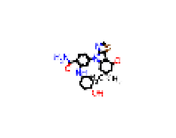 CC1(C)CC(=O)c2c(n(-c3ccc(C(N)=O)c(N[C@H]4CC[C@H](O)CC4)c3)c3ncsc23)C1